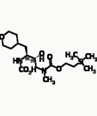 CN(C[C@@H](O)[C@H](CC1CCOCC1)NC(=O)O)C(=O)OCC[Si](C)(C)C